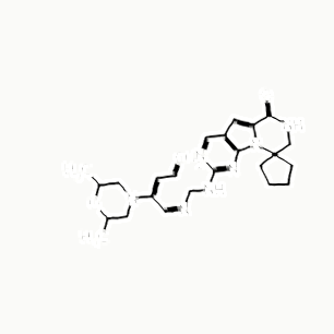 C=C/C=C(\C=N/CNc1ncc2cc3n(c2n1)C1(CCCC1)CNC3=O)N1CC(C)OC(C)C1